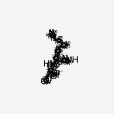 C[C@@H]1CN(Cc2csc(C3=C(CN4CCN(c5ccc(C(=O)NS(=O)(=O)c6ccc(NCC7COCCO7)c([N+](=O)[O-])c6)c(Oc6cnc7[nH]ccc7c6)c5)CC4)CCC(C)(C)C3)c2)C[C@H](C)N1C